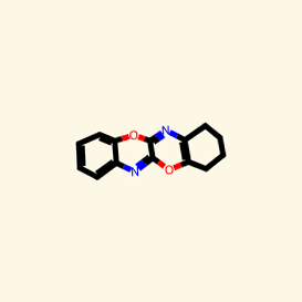 c1ccc2c(c1)N=C1OC3=C(CCCC3)N=C1O2